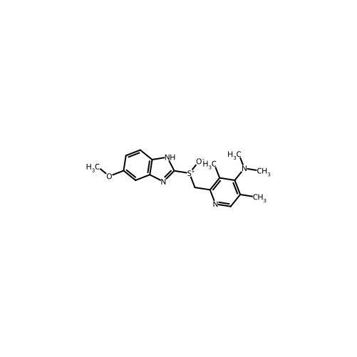 COc1ccc2[nH]c([S+]([O-])Cc3ncc(C)c(N(C)C)c3C)nc2c1